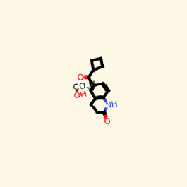 O=C(O)O.O=C1CCc2cc(C(=O)C3CCC3)ccc2N1